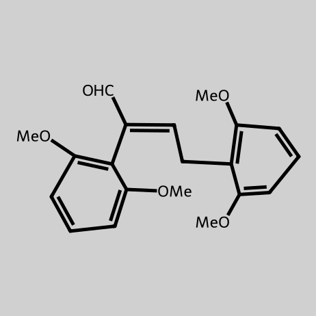 COc1cccc(OC)c1CC=C(C=O)c1c(OC)cccc1OC